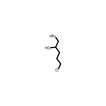 CCCCCC(O)CCCCl